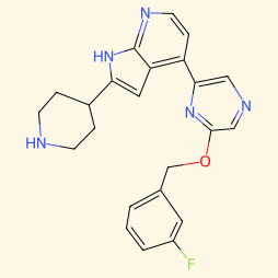 Fc1cccc(COc2cncc(-c3ccnc4[nH]c(C5CCNCC5)cc34)n2)c1